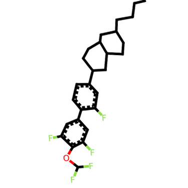 CCCCC1CCC2CC(c3ccc(-c4cc(F)c(OC(F)F)c(F)c4)c(F)c3)CCC2C1